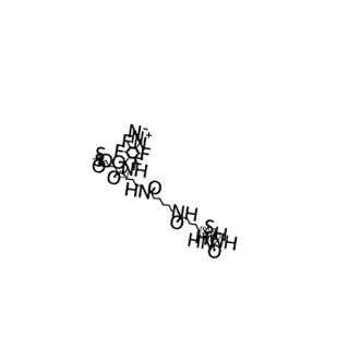 CS(=O)(=S)OCCC(=O)[C@H](CCCCNC(=O)CCCCCNC(=O)CCCC[C@@H]1SC[C@@H]2NC(=O)N[C@@H]21)NC(=O)c1c(F)c(F)c(N=[N+]=[N-])c(F)c1F